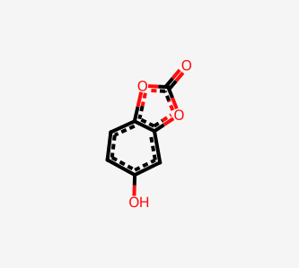 O=c1oc2ccc(O)cc2o1